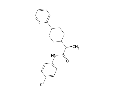 C[C@@H](C(=O)Nc1ccc(Cl)cc1)C1CCC(c2ccccc2)CC1